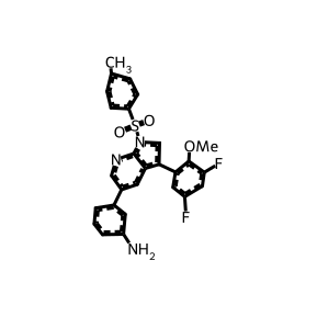 COc1c(F)cc(F)cc1-c1cn(S(=O)(=O)c2ccc(C)cc2)c2ncc(-c3cccc(N)c3)cc12